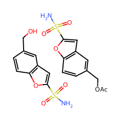 CC(=O)OCc1ccc2oc(S(N)(=O)=O)cc2c1.NS(=O)(=O)c1cc2cc(CO)ccc2o1